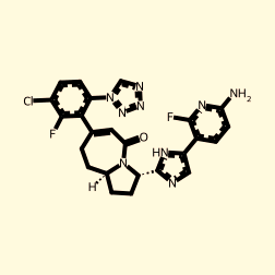 Nc1ccc(-c2cnc([C@@H]3CC[C@H]4CCC(c5c(-n6cnnn6)ccc(Cl)c5F)=CC(=O)N43)[nH]2)c(F)n1